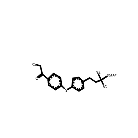 CCC(CC)(CCc1ccc(Sc2ccc(C(=O)CCl)cc2)cc1)NC(C)=O